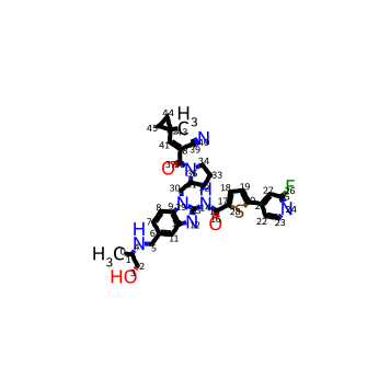 CC(CO)NCc1ccc2c(c1)nc(NC(=O)c1ccc(-c3ccnc(F)c3)s1)n2CC1CCCN1C(=O)C(C#N)=CC1(C)CC1